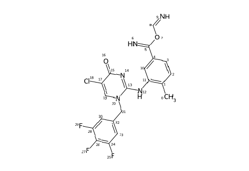 Cc1ccc(C(=N)OC=N)cc1Nc1nc(=O)c(Cl)cn1Cc1cc(F)c(F)c(F)c1